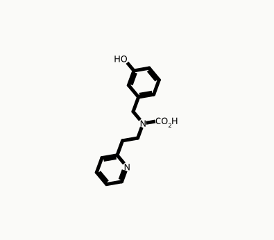 O=C(O)N(CCc1ccccn1)Cc1cccc(O)c1